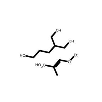 CCOC=C(C)C(=O)O.OCCCC(CO)CO